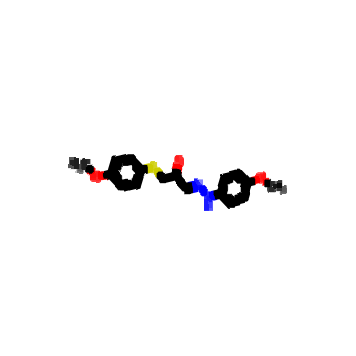 COc1ccc(NN=CC(=O)CSc2ccc(OC)cc2)cc1